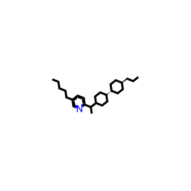 CCCCCc1ccc(C(C)C2CCC([C@H]3CC[C@H](CCC)CC3)CC2)nc1